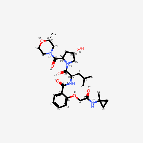 CC(C)C[C@@H](NC(=O)c1ccccc1OCC(=O)NC1(C)CC1)C(=O)N1C[C@@H](O)C[C@@H]1C(=O)N1CCO[C@H](C)C1